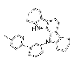 Cc1ccc(-c2cccc(-n3c4ccccc4c4ccc5c6ccccc6[nH]c5c43)c2)cc1